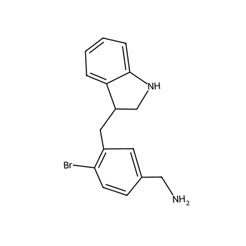 NCc1ccc(Br)c(CC2CNc3ccccc32)c1